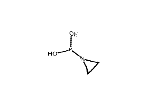 OP(O)N1CC1